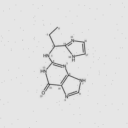 CCC(Nc1nc2[nH]cnc2c(=O)[nH]1)c1ncc[nH]1